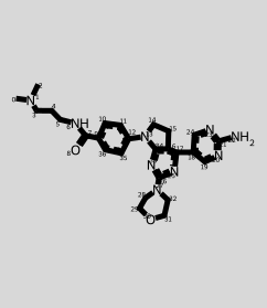 CN(C)CCCNC(=O)c1ccc(N2CCc3c(-c4cnc(N)nc4)nc(N4CCOCC4)nc32)cc1